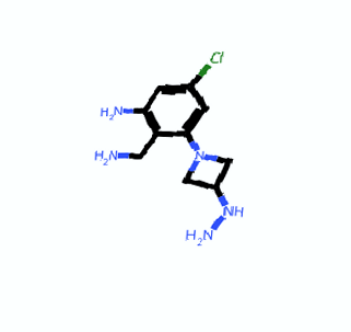 NCc1c(N)cc(Cl)cc1N1CC(NN)C1